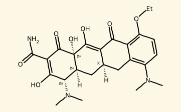 CCOc1ccc(N(C)C)c2c1C(=O)C1=C(O)[C@]3(O)C(=O)C(C(N)=O)=C(O)[C@@H](N(C)C)[C@@H]3C[C@@H]1C2